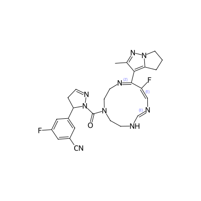 Cc1nn2c(c1C1=N/CCN(C(=O)N3N=CCC3c3cc(F)cc(C#N)c3)CCN/C=N/C=C\1F)CCC2